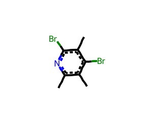 Cc1nc(Br)c(C)c(Br)c1C